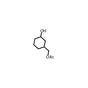 CC(=O)OCC1CCCC(O)C1